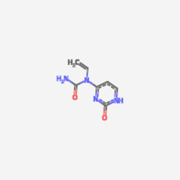 C=CN(C(N)=O)c1cc[nH]c(=O)n1